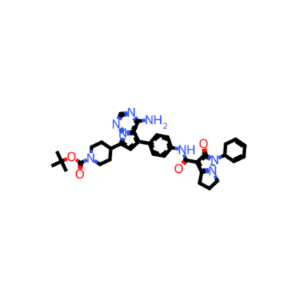 CC(C)(C)OC(=O)N1CCC(c2cc(-c3ccc(NC(=O)c4c5n(n(C6C=CC=CC6)c4=O)CCC5)cc3)c3c(N)ncnn23)CC1